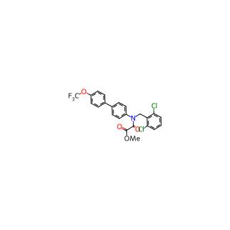 COC(=O)C(=O)N(Cc1c(Cl)cccc1Cl)c1ccc(-c2ccc(OC(F)(F)F)cc2)cc1